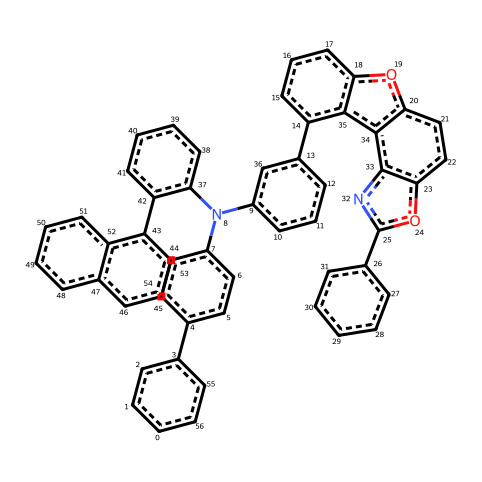 c1ccc(-c2ccc(N(c3cccc(-c4cccc5oc6ccc7oc(-c8ccccc8)nc7c6c45)c3)c3ccccc3-c3cccc4ccccc34)cc2)cc1